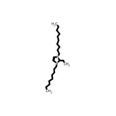 CCCCCCCCCCN1C=CN(CCCCCCCCC)C1CC